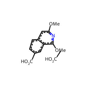 CC(=O)O.COc1cc2ccc(C(=O)O)cc2c(OC)n1